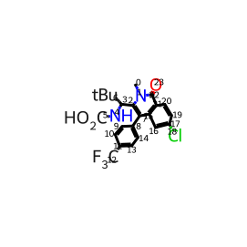 Cn1c(C(NC(=O)O)C(C)(C)C)c(-c2ccc(C(F)(F)F)cc2)c2cc(Cl)ccc2c1=O